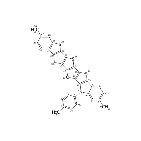 Cc1ccc(-n2c3cc(C)ccc3c3sc4c(oc5c6c(sc54)-c4sc5cc(C)ccc5c4C6)c32)cc1